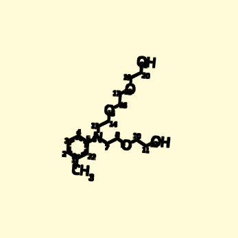 Cc1cccc(N(CCOCCO)CCOCCOCCO)c1